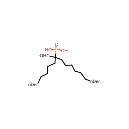 CCCCCCCCCCCCCCCCC([C]=O)(CCCCCCCCCCCCCC)P(=O)(O)O